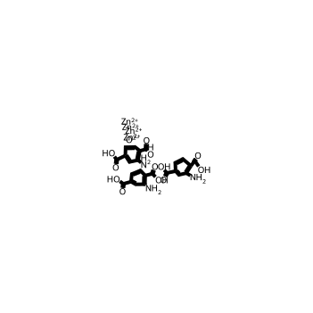 Nc1cc(C(=O)O)ccc1C(=O)O.Nc1cc(C(=O)O)ccc1C(=O)O.Nc1cc(C(=O)O)ccc1C(=O)O.[O-2].[Zn+2].[Zn+2].[Zn+2].[Zn+2]